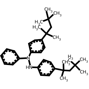 CC(C)(C)CC(C)(C)c1ccc(NN(c2ccccc2)c2ccc(C(C)(C)CC(C)(C)C)cc2)cc1